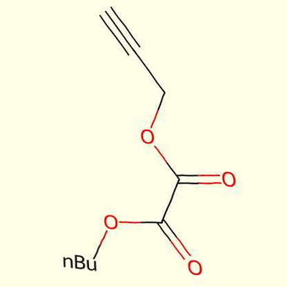 C#CCOC(=O)C(=O)OCCCC